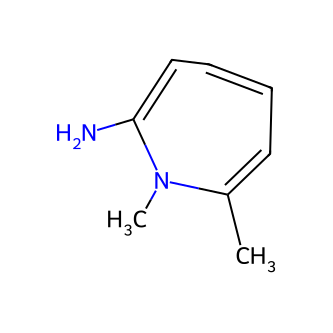 CC1=CC=CC=C(N)N1C